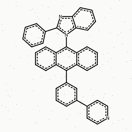 c1ccc(-c2nc3ccccc3n2-c2c3ccccc3c(-c3cccc(-c4ccncc4)c3)c3ccccc23)cc1